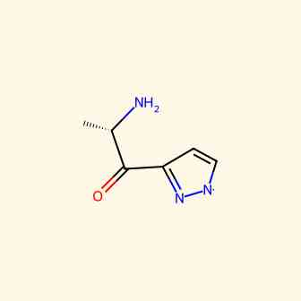 C[C@H](N)C(=O)C1=N[N]C=C1